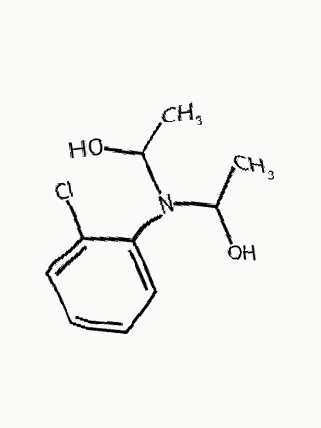 CC(O)N(c1ccccc1Cl)C(C)O